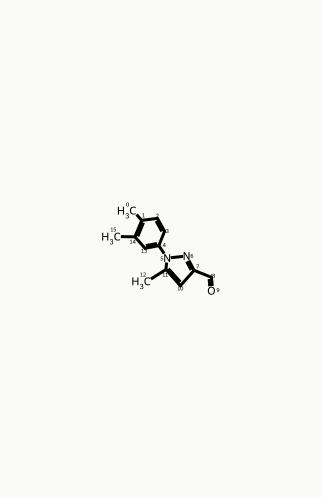 Cc1ccc(-n2nc([C]=O)cc2C)cc1C